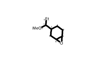 [CH2]CC(OC)C1CCC2OC2C1